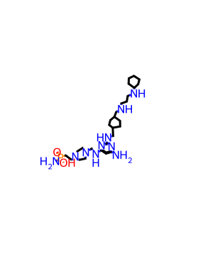 Nc1cc(NCN2CCN(CCP(N)(=O)O)CC2)nc(NCC2CCC(CNCCCNC3CCCCC3)CC2)n1